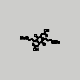 COCCCN1C(=O)C(CC(O)=S)N(CCCOC)C(=O)C1CC(O)=S